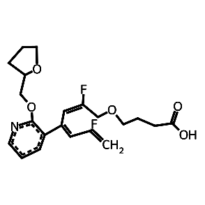 C=C(F)/C=C(\C=C(\F)COCCCC(=O)O)c1cccnc1OCC1CCCO1